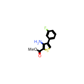 COC(=O)c1scc(-c2cccc(F)c2)c1N